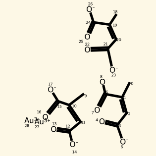 C/C(=C/C(=O)[O-])C(=O)[O-].C/C(=C/C(=O)[O-])C(=O)[O-].C/C(=C/C(=O)[O-])C(=O)[O-].[Au+3].[Au+3]